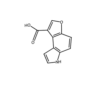 O=C(O)c1coc2ccc3[nH]ccc3c12